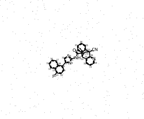 CC1(C(=O)Nc2nc(-c3ccc(F)c4ccccc34)cs2)CC2(C#N)c3ccccc3C1c1cccnc12